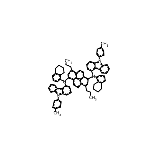 CCCc1cc(N(c2cccc3c2CCCC3)c2cccc3c2c2ccccc2n3-c2ccc(C)cc2)c2ccc3c(CCC)cc(N(c4cccc5c4CCCC5)c4cccc5c4c4ccccc4n5-c4ccc(C)cc4)c4ccc1c2c34